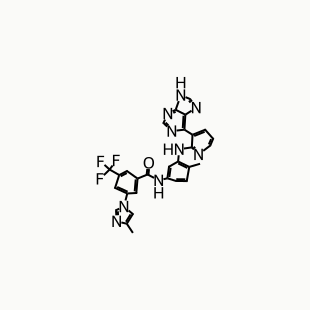 Cc1cn(-c2cc(C(=O)Nc3ccc(C)c(Nc4ncccc4-c4ncnc5[nH]cnc45)c3)cc(C(F)(F)F)c2)cn1